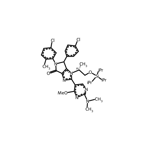 COc1nc(N(C)C)ncc1-c1nc2c(n1[C@H](C)CO[Si](C(C)C)(C(C)C)C(C)C)C(c1ccc(Cl)cc1)N(c1cc(Cl)ccc1C)C2=O